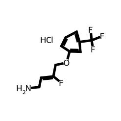 Cl.NC/C=C(\F)COc1cccc(C(F)(F)F)c1